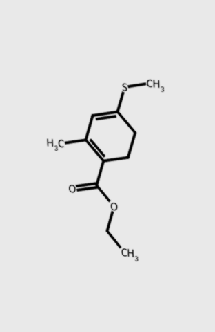 CCOC(=O)C1=C(C)C=C(SC)CC1